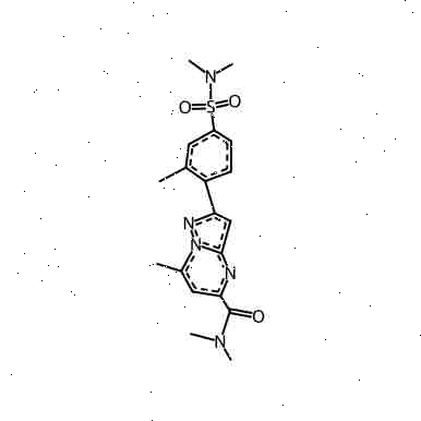 Cc1cc(S(=O)(=O)N(C)C)ccc1-c1cc2nc(C(=O)N(C)C)cc(C)n2n1